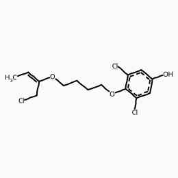 CC=C(CCl)OCCCCOc1c(Cl)cc(O)cc1Cl